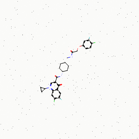 O=C(COc1ccc(Cl)c(F)c1)NC[C@H]1CC[C@H](NC(=O)c2cn(C3CC3)c3cc(Cl)c(F)cc3c2=O)CC1